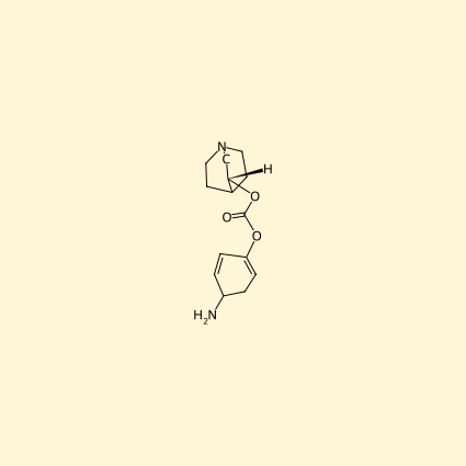 NC1C=CC(OC(=O)O[C@H]2CN3CCC2CC3)=CC1